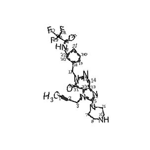 CC#CCn1c(N2CCNCC2)nc2cnn(Cc3cccc(NC(=O)C(F)(F)F)c3)c(=O)c21